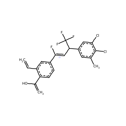 C=Cc1cc(/C(F)=C/C(c2cc(C)c(Cl)c(Cl)c2)C(F)(F)F)ccc1C(=C)O